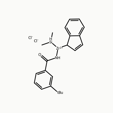 C[SiH](C)[Zr+2]([NH]C(=O)c1cccc(C(C)(C)C)c1)[CH]1C=Cc2ccccc21.[Cl-].[Cl-]